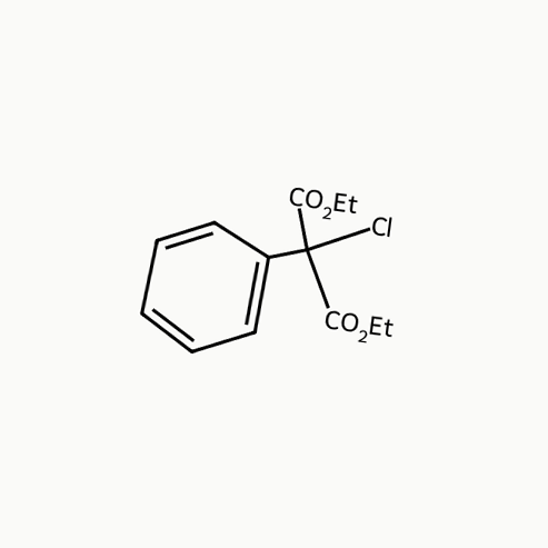 CCOC(=O)C(Cl)(C(=O)OCC)c1ccccc1